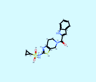 O=C(c1cc2ccccc2[nH]1)N1CCc2nc(NS(=O)(=O)C3CC3)sc2C1